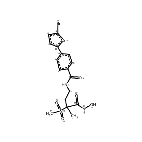 CC(CCNC(=O)c1ccc(-c2ccc(Br)s2)cc1)(C(=O)NO)S(C)(=O)=O